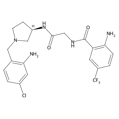 Nc1cc(Cl)ccc1CN1CC[C@@H](NC(=O)CNC(=O)c2cc(C(F)(F)F)ccc2N)C1